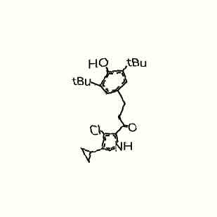 CC(C)(C)c1cc(CCC(=O)c2[nH]cc(C3CC3)c2Cl)cc(C(C)(C)C)c1O